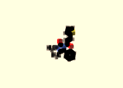 C[C@@H]1[C@H](c2ccccc2)N(C(=O)C=Cc2cccs2)C(=O)N1C